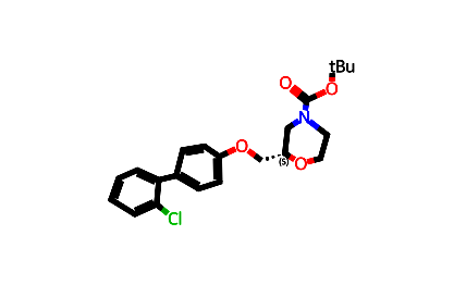 CC(C)(C)OC(=O)N1CCO[C@H](COc2ccc(-c3ccccc3Cl)cc2)C1